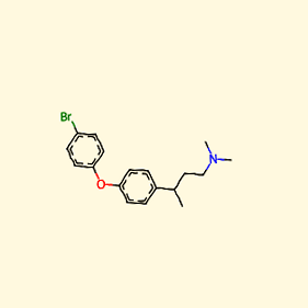 CC(CCN(C)C)c1ccc(Oc2ccc(Br)cc2)cc1